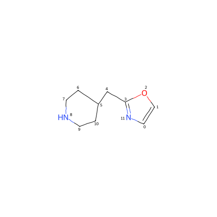 c1coc(CC2CCNCC2)n1